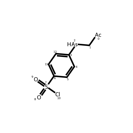 CC(=O)C[AsH]c1ccc(S(=O)(=O)Cl)cc1